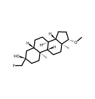 CO[C@H]1CC[C@H]2[C@@H]3CC[C@H]4C[C@@](O)(CF)CC[C@]4(C)[C@H]3CC[C@]12C